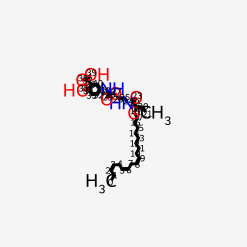 CC/C=C\C/C=C\C/C=C\CCCCCCCCOC(CC)C(=O)NCCOC(=O)Nc1ccc(O)c(C(=O)O)c1